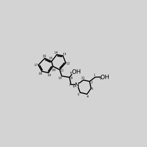 OCC1CCCN(CC(O)Cc2cccc3ccccc23)C1